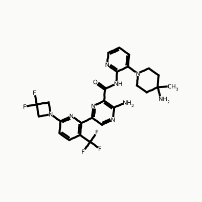 CC1(N)CCN(c2cccnc2NC(=O)c2nc(-c3nc(N4CC(F)(F)C4)ccc3C(F)(F)F)cnc2N)CC1